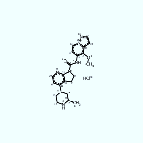 COc1c(NC(=O)N2CCc3c(N4CCN[C@H](C)C4)ccnc32)ccn2nccc12.Cl